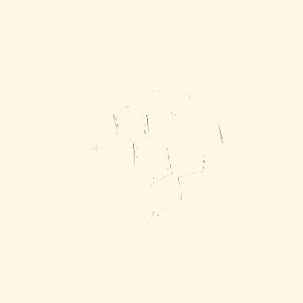 CCCCCCN.O=S(=O)(O)c1ccc(O)c2ccccc12